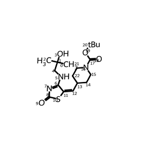 CC(C)(O)CNC1=NC(=O)SC1=CC1CCN(C(=O)OC(C)(C)C)CC1